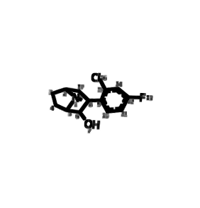 CN1C2CCC1C(O)C(c1ccc(F)cc1Cl)C2